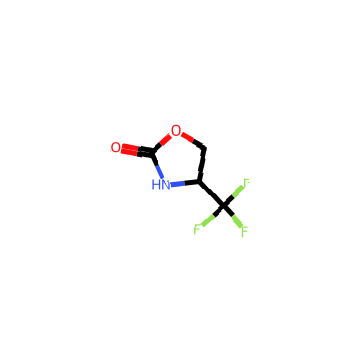 O=C1NC(C(F)(F)F)CO1